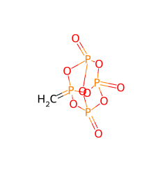 C=P12OP3(=O)OP(=O)(O1)OP(=O)(O2)O3